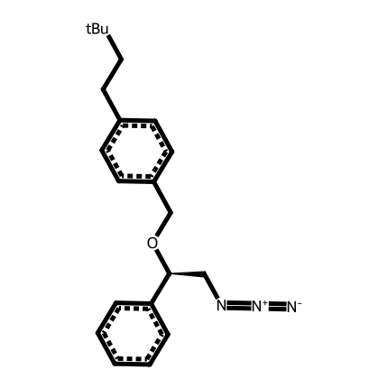 CC(C)(C)CCc1ccc(CO[C@@H](CN=[N+]=[N-])c2ccccc2)cc1